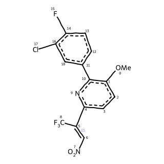 COc1ccc(/C(=C/[N+](=O)[O-])C(F)(F)F)nc1-c1ccc(F)c(Cl)c1